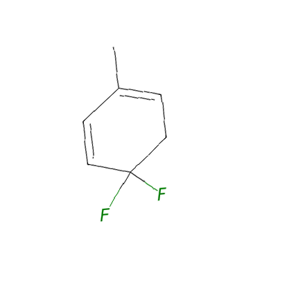 CC1=CCC(F)(F)C=C1